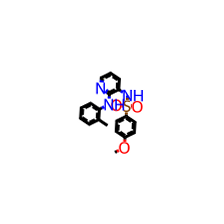 COc1ccc(S(=O)(=O)Nc2cccnc2Nc2ccccc2C)cc1